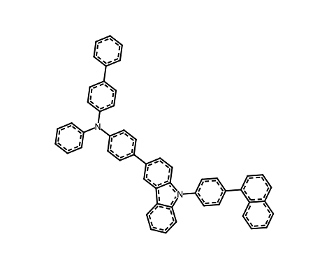 c1ccc(-c2ccc(N(c3ccccc3)c3ccc(-c4ccc5c(c4)c4ccccc4n5-c4ccc(-c5cccc6ccccc56)cc4)cc3)cc2)cc1